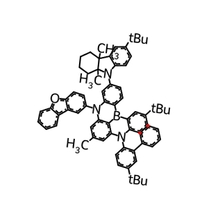 Cc1cc2c3c(c1)N(c1ccc(C(C)(C)C)cc1-c1ccccc1)c1ccc(C(C)(C)C)cc1B3c1ccc(N3c4ccc(C(C)(C)C)cc4C4(C)CCCCC34C)cc1N2c1ccc2oc3ccccc3c2c1